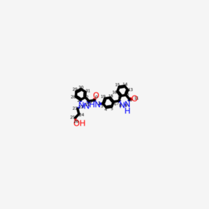 O=C(Nc1ccc(-c2n[nH]c(=O)c3ccccc23)cc1)c1nn(CCCO)c2ccccc12